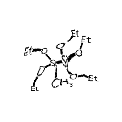 CCO[Si](C)(OCC)[Si](OCC)(OCC)OCC